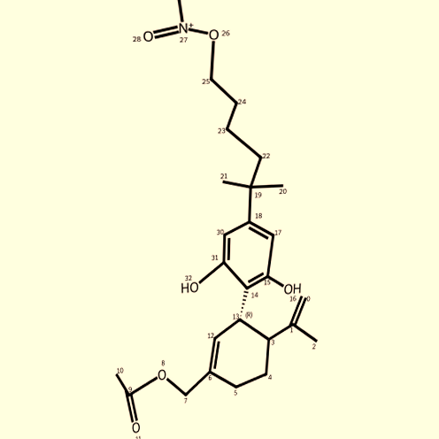 C=C(C)C1CCC(COC(C)=O)=C[C@@H]1c1c(O)cc(C(C)(C)CCCCO[N+](=O)[O-])cc1O